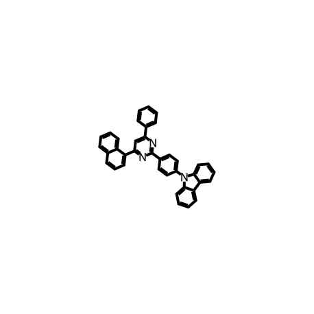 c1ccc(-c2cc(-c3cccc4ccccc34)nc(-c3ccc(-n4c5ccccc5c5ccccc54)cc3)n2)cc1